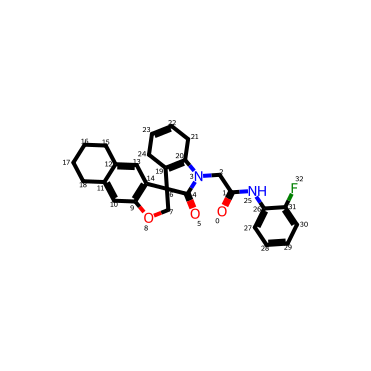 O=C(CN1C(=O)C2(COc3cc4c(cc32)CCCC4)C2=C1CC=CC2)Nc1ccccc1F